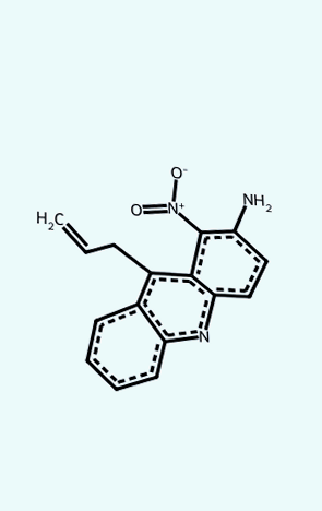 C=CCc1c2ccccc2nc2ccc(N)c([N+](=O)[O-])c12